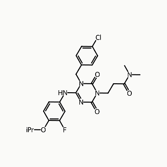 CC(C)Oc1ccc(Nc2nc(=O)n(CCC(=O)N(C)C)c(=O)n2Cc2ccc(Cl)cc2)cc1F